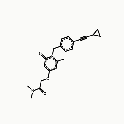 Cc1cc(OCC(=O)N(C)C)cc(=O)n1Cc1ccc(C#CC2CC2)cc1